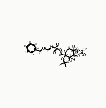 CC1(C)O[C@H]2[C@@H]3OS(=O)(=O)O[C@@H]3CO[C@@]2(COS(=O)(=O)N=COCc2ccccc2)O1